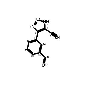 N#Cc1[nH]nnc1-c1cccc(C=O)c1